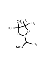 COC(C)B1OC(C)(C)C(C)(C)O1